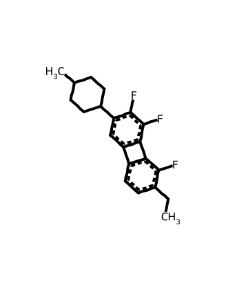 CCc1ccc2c(c1F)-c1c-2cc(C2CCC(C)CC2)c(F)c1F